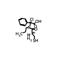 CCCN(C(=O)[C@@H](N)CS)[C@](Cl)(C(=O)O)c1ccccc1